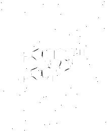 CCCCC(Cc1ccc(F)cc1)C(OC(=O)c1ccc(Cl)cc1Cl)c1cccnc1